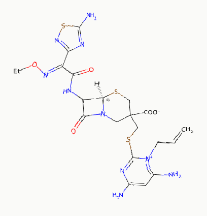 C=CC[n+]1c(N)cc(N)nc1SCC1(C(=O)[O-])CS[C@@H]2C(NC(=O)C(=NOCC)c3nsc(N)n3)C(=O)N2C1